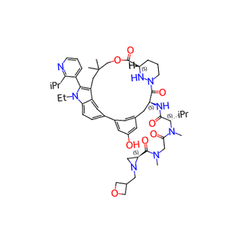 CCn1c(-c2cccnc2C(C)C)c2c3cc(ccc31)-c1cc(O)cc(c1)C[C@H](NC(=O)[C@H](C(C)C)N(C)C(=O)CN(C)C(=O)[C@@H]1CN1CC1COC1)C(=O)N1CCC[C@H](N1)C(=O)OCC(C)(C)C2